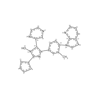 Cc1cc(-c2nc(-c3cccs3)n(O)c2-c2cnccn2)ccc1-n1ccc2cccnc21